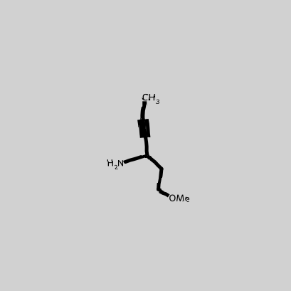 CC#CC(N)CCOC